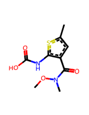 CON(C)C(=O)c1cc(C)sc1NC(=O)O